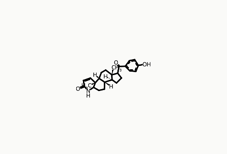 C[C@]12C=CC(=O)NC1CC[C@@H]1[C@H]2CC[C@]2(C)C(C(=O)c3ccc(O)cc3)CC[C@@H]12